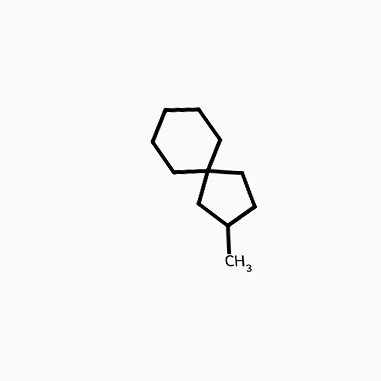 CC1CCC2(CCCCC2)C1